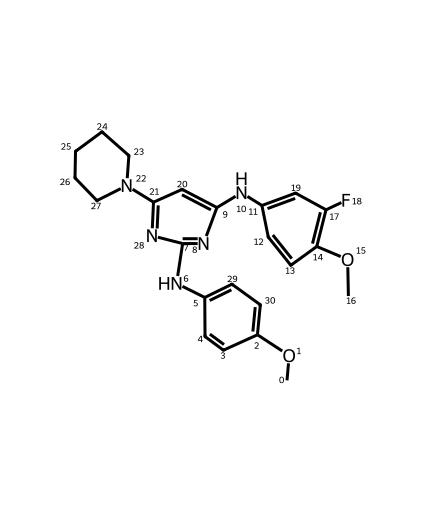 COc1ccc(Nc2nc(Nc3ccc(OC)c(F)c3)cc(N3CCCCC3)n2)cc1